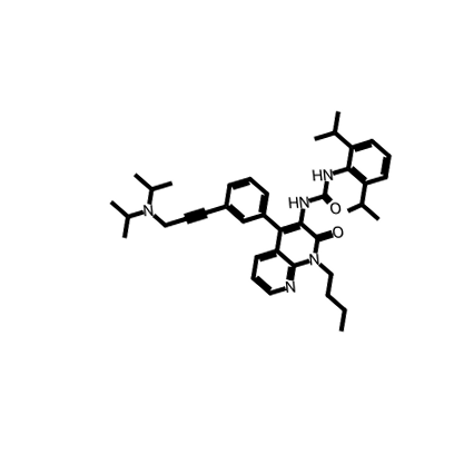 CCCCn1c(=O)c(NC(=O)Nc2c(C(C)C)cccc2C(C)C)c(-c2cccc(C#CCN(C(C)C)C(C)C)c2)c2cccnc21